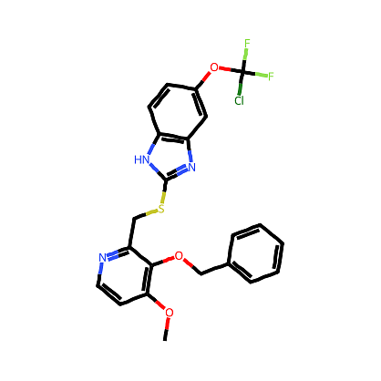 COc1ccnc(CSc2nc3cc(OC(F)(F)Cl)ccc3[nH]2)c1OCc1ccccc1